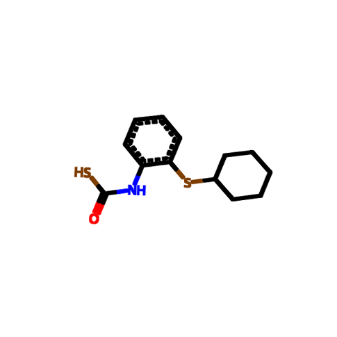 O=C(S)Nc1ccccc1SC1CCCCC1